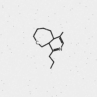 CCCC1=NC=C(C)C2CCCCCCC12